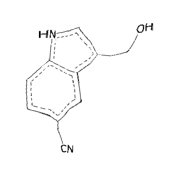 N#Cc1ccc2[nH]cc(CO)c2c1